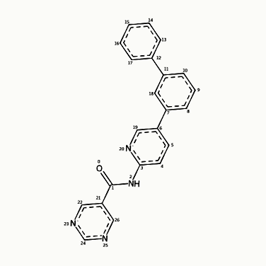 O=C(Nc1ccc(-c2cccc(-c3ccccc3)c2)cn1)c1cncnc1